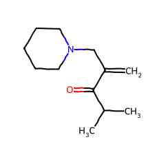 C=C(CN1CCCCC1)C(=O)C(C)C